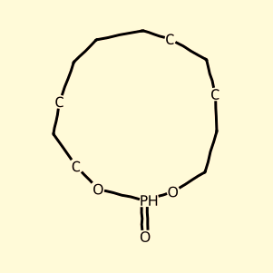 O=[PH]1OCCCCCCCCCCCO1